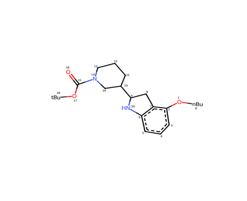 CCCCOc1cccc2c1CC(C1CCCN(C(=O)OC(C)(C)C)C1)N2